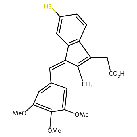 COc1cc(C=C2C(C)=C(CC(=O)O)c3ccc(S)cc32)cc(OC)c1OC